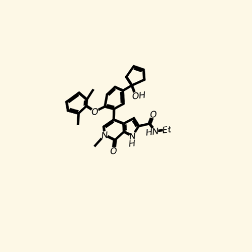 CCNC(=O)c1cc2c(-c3cc(C4(O)CC=CC4)ccc3Oc3c(C)cccc3C)cn(C)c(=O)c2[nH]1